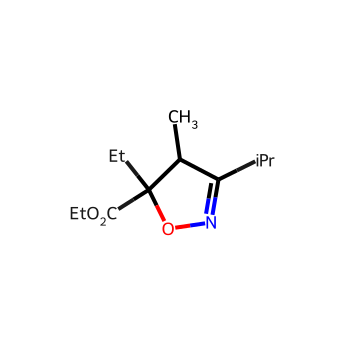 CCOC(=O)C1(CC)ON=C(C(C)C)C1C